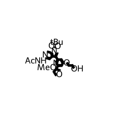 COC1(c2cc(OCCO)cc(-c3cn(C(=O)OC(C)(C)C)c4cnc(NC(C)=O)cc34)n2)CCOC1